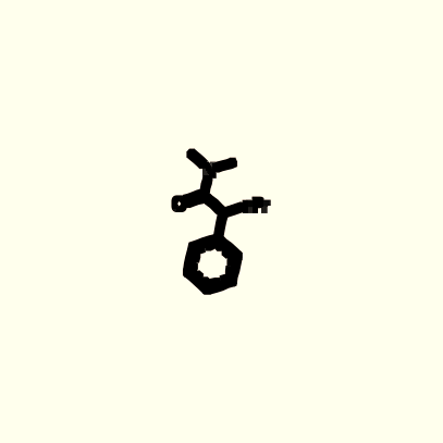 CCCC(C(=O)N(C)C)c1ccccc1